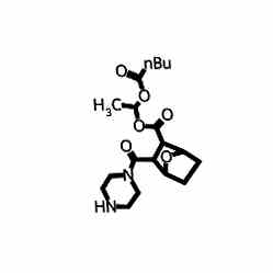 CCCCC(=O)OC(C)OC(=O)C1C2CCC(O2)C1C(=O)N1CCNCC1